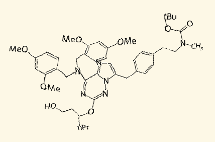 CCCC(CCO)Oc1nc(N(Cc2ccc(OC)cc2OC)Cc2ccc(OC)cc2OC)c2ncc(Cc3ccc(CCN(C)C(=O)OC(C)(C)C)cc3)n2n1